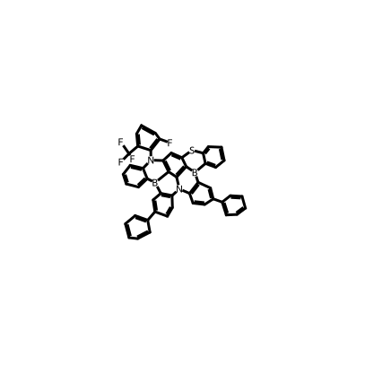 Fc1cccc(C(F)(F)F)c1N1c2ccccc2B2c3cc(-c4ccccc4)ccc3N3c4ccc(-c5ccccc5)cc4B4c5ccccc5Sc5cc1c2c3c54